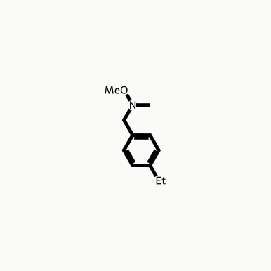 CCc1ccc(CN(C)OC)cc1